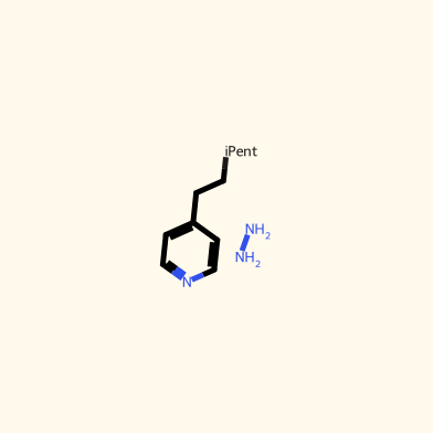 CCCC(C)CCc1ccncc1.NN